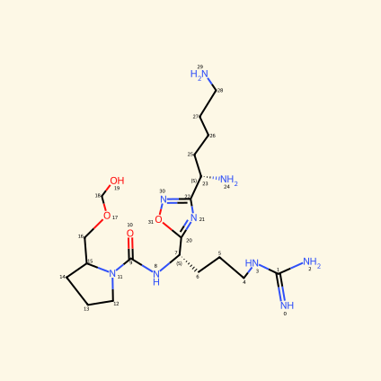 N=C(N)NCCC[C@H](NC(=O)N1CCCC1COCO)c1nc([C@@H](N)CCCCN)no1